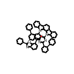 c1ccc(-c2cccc(-c3nc(-c4ccccc4-c4ccccc4)nc(-n4c5ccccc5c5ccc6c7ccccc7n(-c7ccc(-c8cccc9nc(-c%10ccccc%10)oc89)cc7)c6c54)n3)c2)cc1